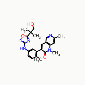 Cc1cc2c(cn1)cc(-c1cc(Nc3noc(C(C)(C)CO)n3)ccc1C)c(=O)n2C